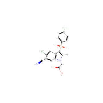 Cc1c(S(=O)(=O)c2ccc(Cl)cc2)c2cc(Cl)c(C#N)cc2n1CC(=O)O